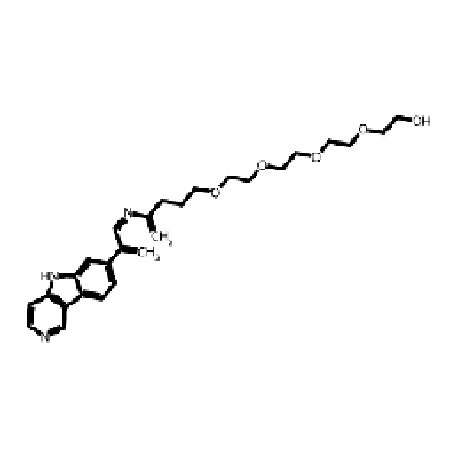 C=C(CCCOCCOCCOCCOCCO)/N=C\C(=C)c1ccc2c(c1)[nH]c1ccncc12